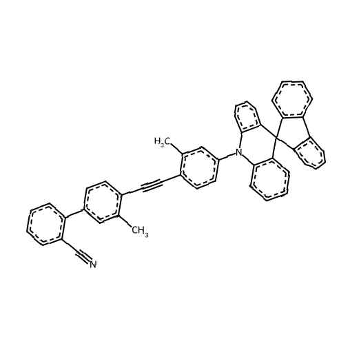 Cc1cc(-c2ccccc2C#N)ccc1C#Cc1ccc(N2c3ccccc3C3(c4ccccc4-c4ccccc43)c3ccccc32)cc1C